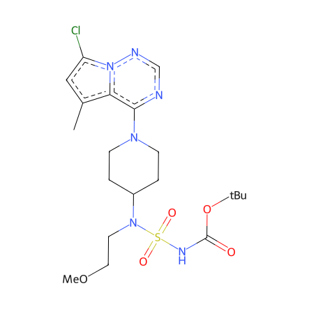 COCCN(C1CCN(c2ncnn3c(Cl)cc(C)c23)CC1)S(=O)(=O)NC(=O)OC(C)(C)C